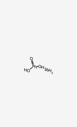 O=[PH](O)O.[SbH3]